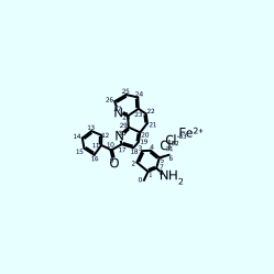 Cc1cccc(C)c1N.O=C(c1ccccc1)c1ccc2ccc3cccnc3c2n1.[Cl-].[Cl-].[Fe+2]